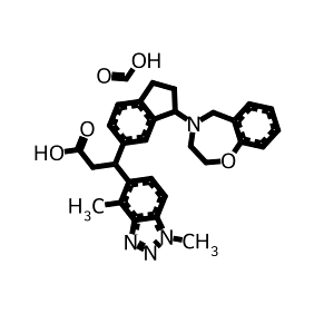 Cc1c(C(CC(=O)O)c2ccc3c(c2)C(N2CCOc4ccccc4C2)CC3)ccc2c1nnn2C.O=CO